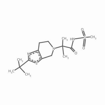 CC(C)(C)c1nc2c(s1)CN(C(C)(C)C(=O)NS(C)(=O)=O)CC2